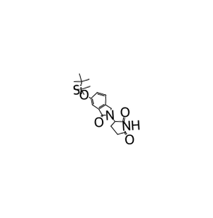 CC(C)(C)[Si](C)(C)Oc1ccc2c(c1)C(=O)N(C1CCC(=O)NC1=O)C2